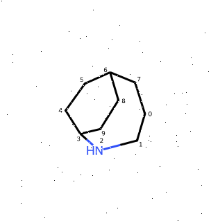 C1CNC2CCC(C1)CC2